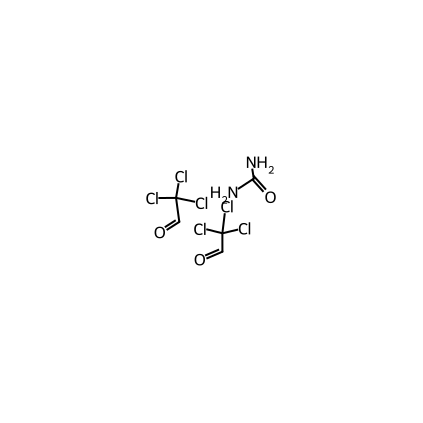 NC(N)=O.O=CC(Cl)(Cl)Cl.O=CC(Cl)(Cl)Cl